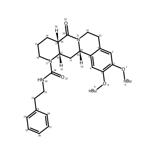 CCCCOc1cc2c(cc1OCCCC)[C@@H]1C[C@H]3[C@H](CCCN3C(=O)NCCc3ccccc3)C(=O)N1CC2